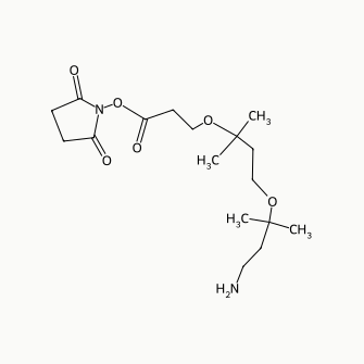 CC(C)(CCN)OCCC(C)(C)OCCC(=O)ON1C(=O)CCC1=O